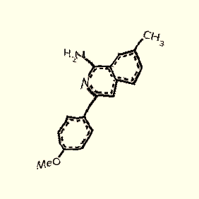 COc1ccc(-c2cc3ccc(C)cc3c(N)n2)cc1